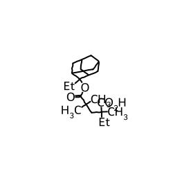 CCC(C)(CC(C)(C)C(=O)OC1(CC)C2CC3CC(C2)CC1C3)C(=O)O